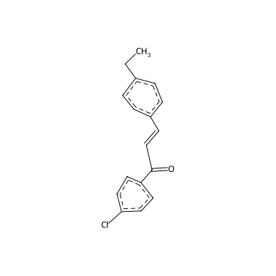 CCc1ccc(C=CC(=O)c2ccc(Cl)cc2)cc1